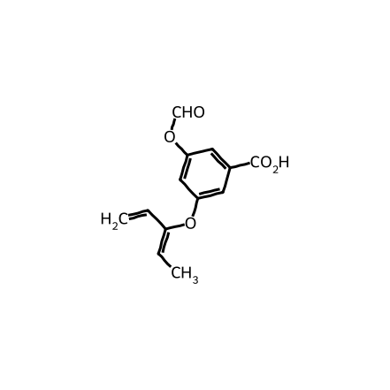 C=C/C(=C/C)Oc1cc(OC=O)cc(C(=O)O)c1